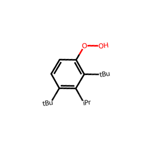 CC(C)c1c(C(C)(C)C)ccc(OO)c1C(C)(C)C